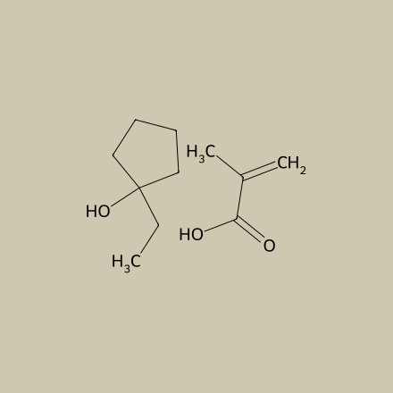 C=C(C)C(=O)O.CCC1(O)CCCC1